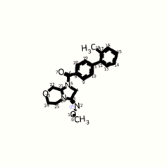 CO/N=C1/CN(C(=O)c2ccc(-c3ccccc3C)cc2)C2COCCN12